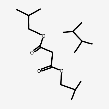 CC(C)C(C)C.CC(C)COC(=O)CC(=O)OCC(C)C